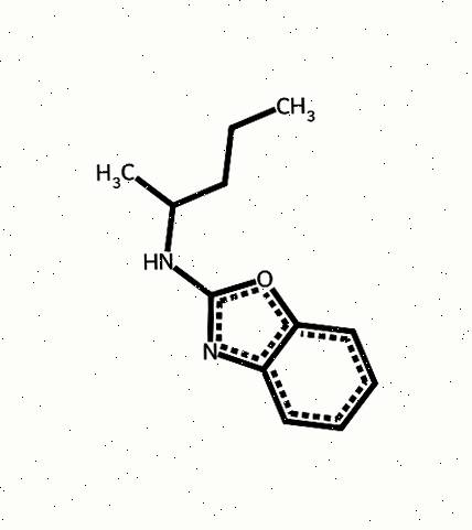 CCCC(C)Nc1nc2ccccc2o1